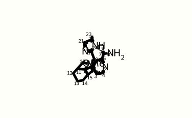 COC1(c2ccnc(C(N)=O)c2)C2CCCC1CN(Cc1ncc(C)[nH]1)C2